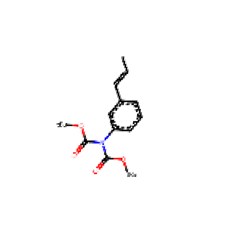 CC=Cc1cccc(N(C(=O)OC(C)(C)C)C(=O)OC(C)(C)C)c1